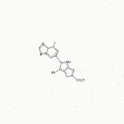 Cc1cc(-c2[nH]c3sc(C(=O)O)cc3c2C(C)C)cn2ncnc12